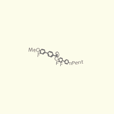 CCCCCc1ccc(-c2ccc(OC(=O)c3ccc(-c4ccc(OC)c(F)c4)cc3)c(F)c2F)cc1